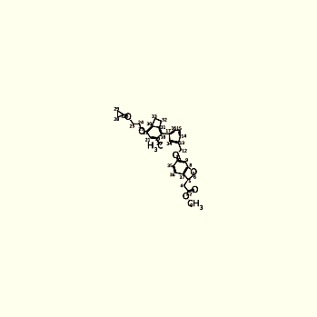 COC(=O)C[C@@H]1COc2cc(OCc3cccc(-c4c(C)cc(OCCOC5CC5)c5c4CC5)c3)ccc21